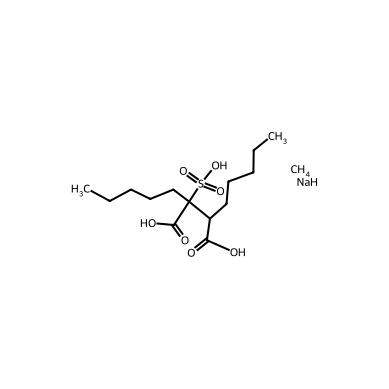 C.CCCCCC(C(=O)O)C(CCCCC)(C(=O)O)S(=O)(=O)O.[NaH]